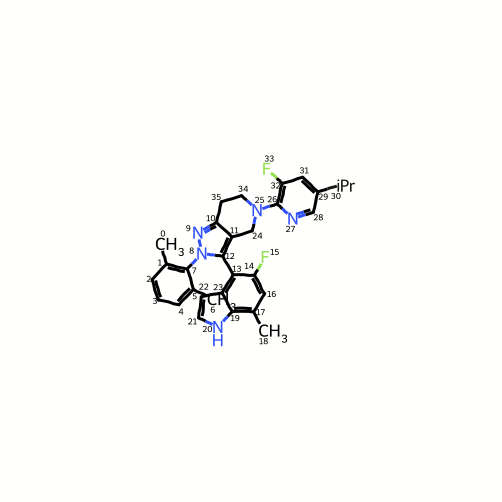 Cc1cccc(C)c1-n1nc2c(c1-c1c(F)cc(C)c3[nH]ccc13)CN(c1ncc(C(C)C)cc1F)CC2